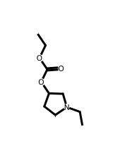 CCOC(=O)OC1C[CH]N(CC)C1